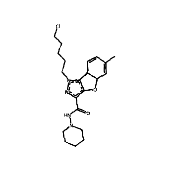 CC1=CC2Oc3c(C(=O)NN4CCCCC4)nn(CCCCCCl)c3C2C=C1